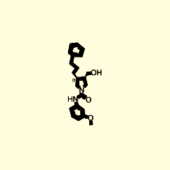 COc1cccc(NC(=O)N2C[C@@H](CCCc3ccccc3)[C@@H](CO)C2)c1